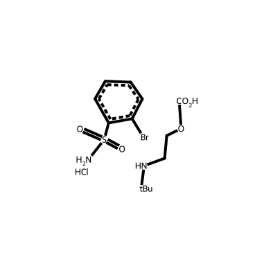 CC(C)(C)NCCOC(=O)O.Cl.NS(=O)(=O)c1ccccc1Br